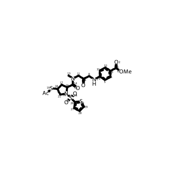 COC(=O)c1ccc(NCC(=O)CN(C)C(=O)C2CC(SC(C)=O)CN2S(=O)(=O)c2cccs2)cc1